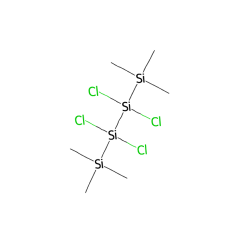 C[Si](C)(C)[Si](Cl)(Cl)[Si](Cl)(Cl)[Si](C)(C)C